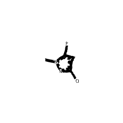 Cn1nc(Cl)[c]c1F